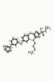 CCCCCc1nc(C(F)(F)CC)nn1Cc1ccc(Cc2cccc(-c3nnn[nH]3)c2)cc1